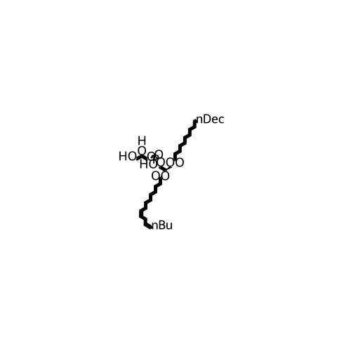 CCCC/C=C\C/C=C\CCCCCCCC(=O)O[C@H](COC(=O)CCCCCCCCCCCCCCCCCCC)COP(=O)(O)OC[C@@H](O)CO